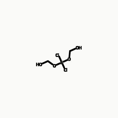 OCO[Si](Cl)(Cl)OCO